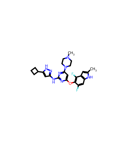 Cc1cc2c(F)c(Oc3cc(N4CCN(C)CC4)nc(Nc4cc(C5CCC5)[nH]n4)n3)c(F)cc2[nH]1